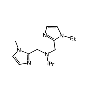 CCn1ccnc1CN(Cc1nccn1C)C(C)C